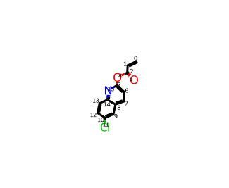 C=CC(=O)Oc1ccc2cc(Cl)ccc2n1